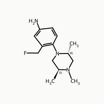 C[C@@H]1CN(C)[C@@H](C)CN1c1ccc(N)cc1CF